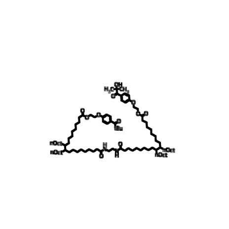 CCCCCCCCC(CCCCCCCCC(=O)NCCNC(=O)CCCCCCCCC(CCCCCCCC)C(CCCCCCCC)CCCCCCCCC(=O)OCCOc1ccc(C(=O)C(C)(C)O)cc1)C(CCCCCCCC)CCCCCCCCC(=O)OCCOc1ccc(C(=O)C(C)(C)C)cc1